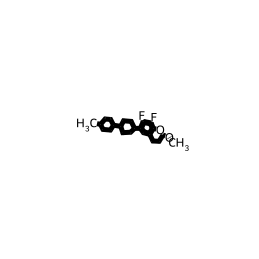 COC1CCc2cc(C3CCC(C4CCC(C)CC4)CC3)c(F)c(F)c2O1